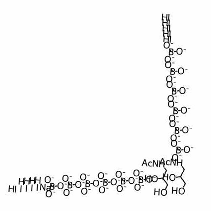 CC(=O)NCC(O)CO.CC(=O)NCC(O)CO.I.I.I.I.I.I.I.I.I.I.[Na+].[O-]B([O-])[O-].[O-]B([O-])[O-].[O-]B([O-])[O-].[O-]B([O-])[O-].[O-]B([O-])[O-].[O-]B([O-])[O-].[O-]B([O-])[O-].[O-]B([O-])[O-].[O-]B([O-])[O-].[O-]B([O-])[O-].[O-]B([O-])[O-].[O-]B([O-])[O-]